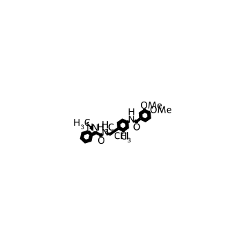 COc1ccc(C(=O)Nc2ccc(C(C)(C)CNC(=O)c3nn(C)c4ccccc34)c(Cl)c2)cc1OC